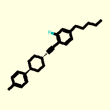 CCCCCc1ccc(C#C[C@H]2CC[C@H](c3ccc(C)cc3)CC2)c(F)c1